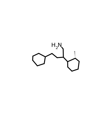 C[C@@H]1CCCCC1C(CN)CCC1CCCCC1